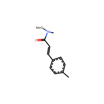 CON(C)C(=O)/C=C/c1ccc(C)cc1